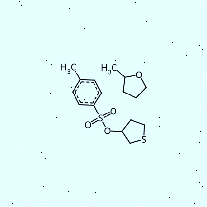 CC1CCCO1.Cc1ccc(S(=O)(=O)OC2CCSC2)cc1